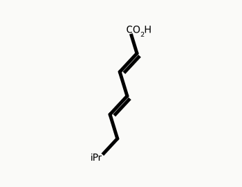 CC(C)C/C=C/C=C/C(=O)O